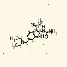 CCN(CC)Cc1ccc2c(C(N)=O)c(NC(N)=O)[nH]c2c1